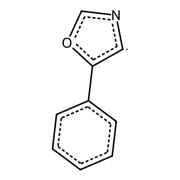 [c]1ncoc1-c1ccccc1